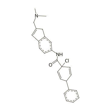 CN(C)CC1=Cc2ccc(NC(=O)C3(Cl)C=CC(c4ccccc4)C=C3)cc2C1